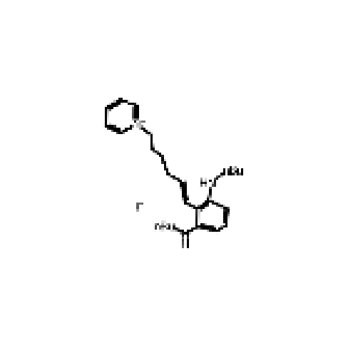 CCCCNc1cccc(NCCCC)c1C=CCCCC[n+]1ccccc1.[I-]